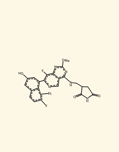 CCc1c(F)ccc2cc(O)cc(-c3ncc4c(NCC5CC(=O)NC5=O)nc(OC)nc4c3F)c12